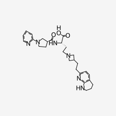 O=C(N[C@@H](CCN1CC(CCc2ccc3c(n2)NCCC3)C1)C(=O)O)[C@H]1CCN(c2ccccn2)C1